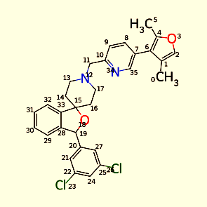 Cc1coc(C)c1-c1ccc(CN2CCC3(CC2)OC(c2cc(Cl)cc(Cl)c2)c2ccccc23)nc1